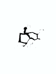 C#CC12C=C(C#N)C(=O)C=C1C(C)(C)CC2